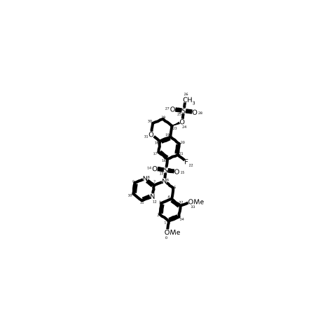 COc1ccc(CN(c2ncccn2)S(=O)(=O)c2cc3c(cc2F)[C@H](OS(C)(=O)=O)CCO3)c(OC)c1